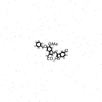 COc1cc2c(cc1OCc1ccccc1)c(CC(=O)O)cn2Cc1csc2ccc(Cl)cc12